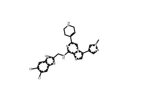 Cn1cc(-c2cnc3c(NCc4nc5cc(Cl)c(Cl)cc5[nH]4)nc(C4=CCNCC4)cn23)cn1